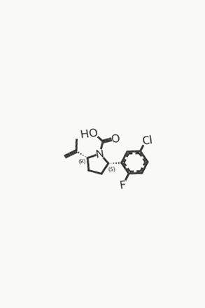 C=C(C)[C@H]1CC[C@@H](c2cc(Cl)ccc2F)N1C(=O)O